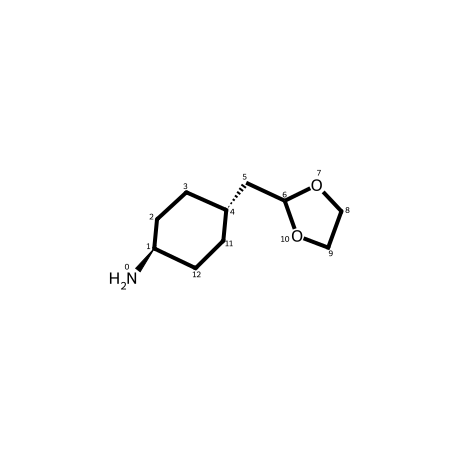 N[C@H]1CC[C@H](CC2OCCO2)CC1